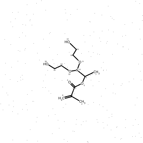 C=C(C)C(=O)OC(C)N(OCCO)OCCO